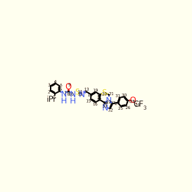 CC(C)c1ccccc1NC(=O)NS/N=C/c1ccc2c(c1)SCn1c(-c3ccc(OC(F)(F)F)cc3)cnc1-2